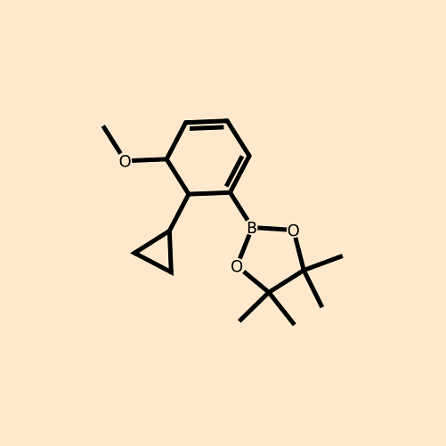 COC1C=CC=C(B2OC(C)(C)C(C)(C)O2)C1C1CC1